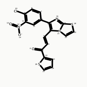 O=C(/C=C/c1c(-c2ccc(Cl)c([N+](=O)[O-])c2)nc2sccn12)c1cccs1